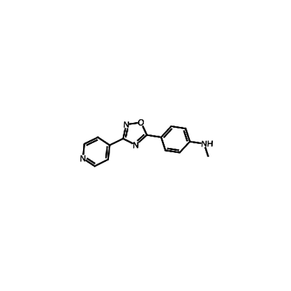 CNc1ccc(-c2nc(-c3ccncc3)no2)cc1